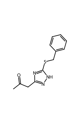 CC(=O)Cc1n[nH]c(SCc2ccccc2)n1